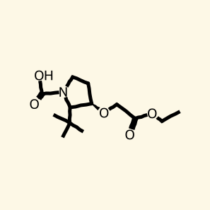 CCOC(=O)CO[C@@H]1CCN(C(=O)O)C1C(C)(C)C